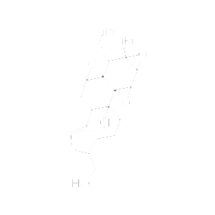 CC(C)OC1C2(C(C)C)OC2C2OC23C2(C)CCc4c(coc4CO)C2CC2OC213